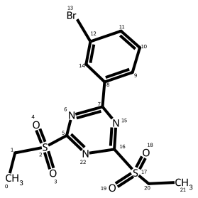 CCS(=O)(=O)c1nc(-c2cccc(Br)c2)nc(S(=O)(=O)CC)n1